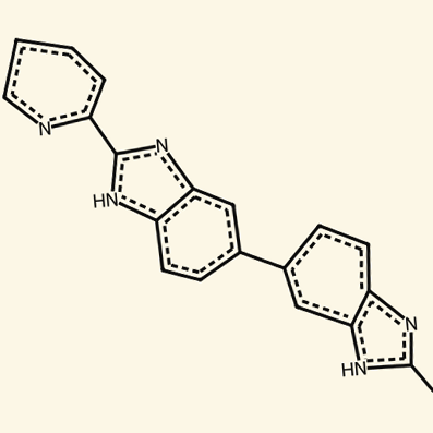 Cc1nc2ccc(-c3ccc4[nH]c(-c5ccccn5)nc4c3)cc2[nH]1